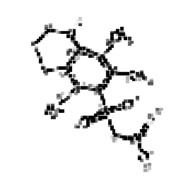 Cc1c(C)c(S(=O)(=O)C[N+](=O)[O-])c(C)c2c1OCCC2